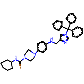 S=C(NC1CCCCC1)N1CCN(c2ccc(NCc3cn(C(c4ccccc4)(c4ccccc4)c4ccccc4)cn3)cc2)CC1